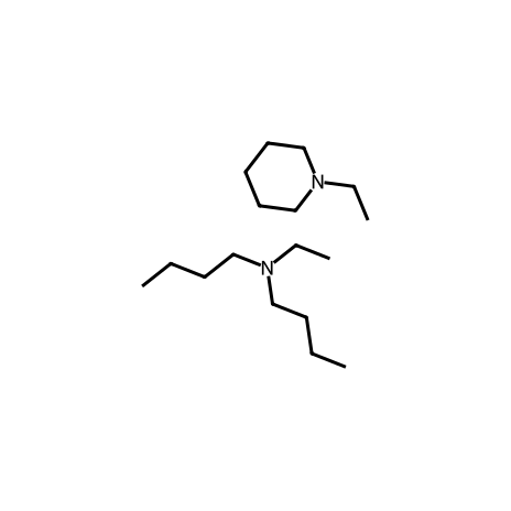 CCCCN(CC)CCCC.CCN1CCCCC1